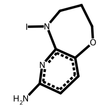 Nc1ccc2c(n1)N(I)CCCO2